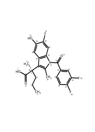 CCC[C@@](C)(C(=O)O)c1c(C)n(C(=O)c2ccc(F)c(F)c2)c2cc(F)c(O)cc12